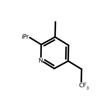 Cc1cc(CC(F)(F)F)cnc1C(C)C